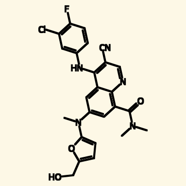 CN(C)C(=O)c1cc(N(C)c2ccc(CO)o2)cc2c(Nc3ccc(F)c(Cl)c3)c(C#N)cnc12